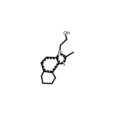 Cc1sc2c3c(ccc2[n+]1CCO)CCCC3